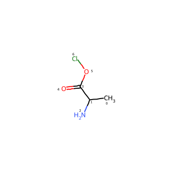 CC(N)C(=O)OCl